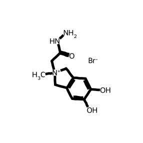 C[N+]1(CC(=O)NN)Cc2cc(O)c(O)cc2C1.[Br-]